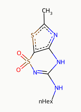 CCCCCCNC1=NS(=O)(=O)c2sc(C)nc2N1